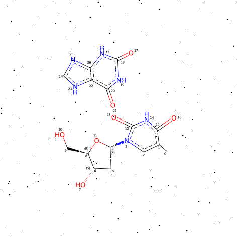 Cc1cn([C@H]2C[C@H](O)[C@@H](CO)O2)c(=O)[nH]c1=O.O=c1[nH]c(=O)c2[nH]cnc2[nH]1